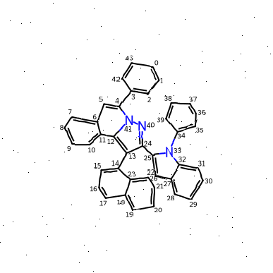 c1ccc(-c2cc3ccccc3c3c(-c4cccc5ccccc45)c(-c4cc5ccccc5n4-c4ccccc4)nn23)cc1